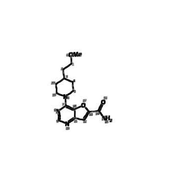 COCCC1CCN(c2ncnc3cc(C(N)=O)oc23)CC1